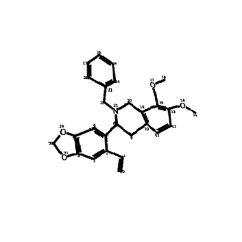 C=Cc1cc2c(cc1C1Cc3ccc(OC)c(OC)c3CN1Cc1ccccc1)OCO2